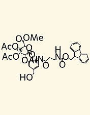 COC(=O)C1O[C@@H](Oc2ccc(CO)cc2NC(=O)CCNC(=O)OCC2c3ccccc3-c3ccccc32)C(OC(C)=O)C(OC(C)=O)[C@@H]1OC(C)=O